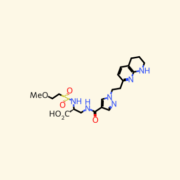 COCCS(=O)(=O)N[C@@H](CNC(=O)c1cnn(CCc2ccc3c(n2)NCCC3)c1)C(=O)O